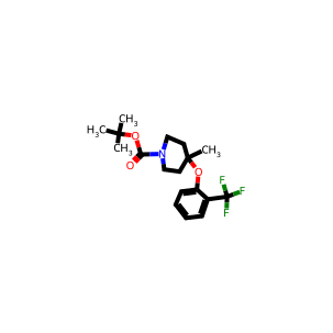 CC(C)(C)OC(=O)N1CCC(C)(Oc2ccccc2C(F)(F)F)CC1